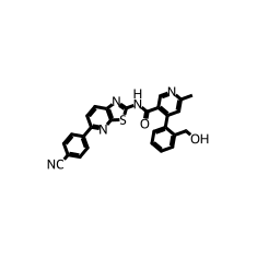 Cc1cc(-c2ccccc2CO)c(C(=O)Nc2nc3ccc(-c4ccc(C#N)cc4)nc3s2)cn1